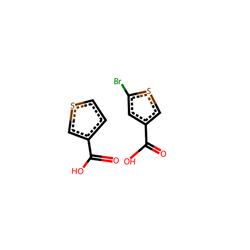 O=C(O)c1ccsc1.O=C(O)c1csc(Br)c1